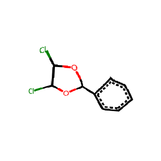 ClC1OC(c2ccccc2)OC1Cl